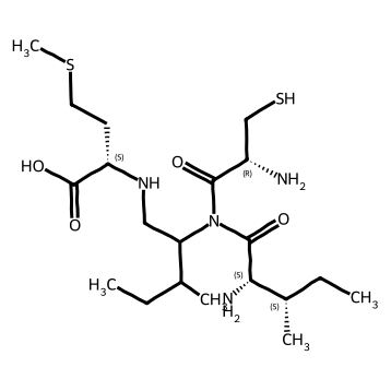 CCC(C)C(CN[C@@H](CCSC)C(=O)O)N(C(=O)[C@@H](N)[C@@H](C)CC)C(=O)[C@@H](N)CS